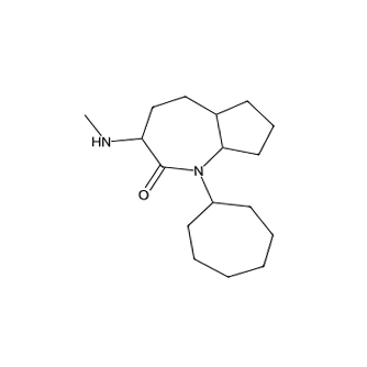 CNC1CCC2CCCC2N(C2CCCCCC2)C1=O